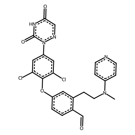 CN(CCc1cc(Oc2c(Cl)cc(-n3ncc(=O)[nH]c3=O)cc2Cl)ccc1C=O)c1ccncc1